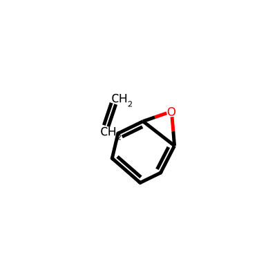 C=C.c1ccc2c(c1)O2